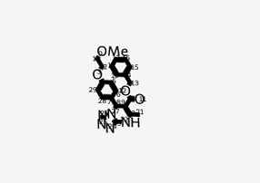 COCCOc1ccc(C2C(C(=O)OCc3ccccc3)=C(C)Nc3nnnn32)cc1